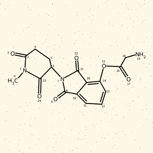 CN1C(=O)CCC(N2C(=O)c3cccc(OC(=O)CN)c3C2=O)C1=O